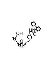 CN(CCO)CCCN1CCN(CCCN2CCC(OC(=O)Nc3ccccc3-c3ccccc3)CC2)C1=O